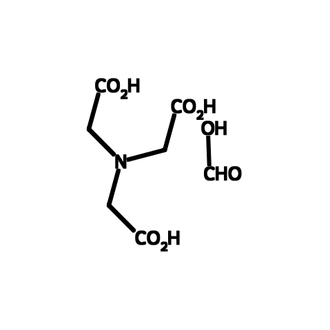 O=C(O)CN(CC(=O)O)CC(=O)O.O=CO